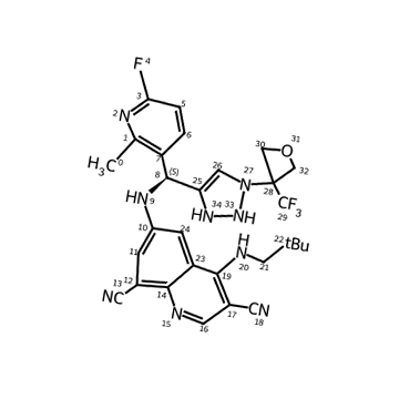 Cc1nc(F)ccc1[C@H](Nc1cc(C#N)c2ncc(C#N)c(NCC(C)(C)C)c2c1)C1=CN(C2(C(F)(F)F)COC2)NN1